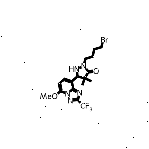 COc1ccc(C2NN(CCCCBr)C(=O)C2(C)C)c2nc(C(F)(F)F)nn12